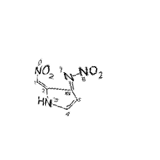 O=[N+]([O-])C=C1NC=CC1=N[N+](=O)[O-]